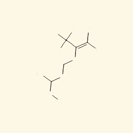 COC(C)OCOC(=C(F)F)C(F)(F)F